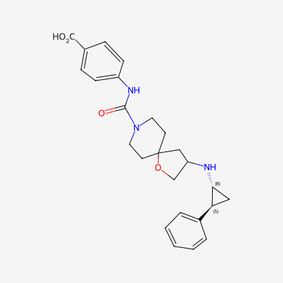 O=C(O)c1ccc(NC(=O)N2CCC3(CC2)CC(N[C@@H]2C[C@H]2c2ccccc2)CO3)cc1